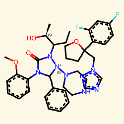 CCC([C@H](C)O)N1C(=O)N(c2ccccc2OC)C(c2ccccc2)[N@@+]1(C1COC(Cn2cncn2)(c2ccc(F)cc2F)C1)N1CCNCC1